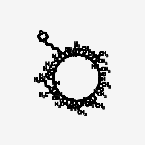 CCCC[C@@H](C)[C@@H](O)[C@@H]1NC(=O)[C@H](C(C)C)N(C)C(=O)C(CC(C)C)N(C)C(=O)[C@H](CC(C)C)N(C)C(=O)[C@@H](C)NC(=O)[C@H](C)NC(=O)[C@H](CC(C)C)N(C)C(=O)[C@H](C(C)C)NC(=O)[C@H]([C@@H](C)OCCCCN2CCOCC2)N(C)C(=O)[C@@H](C)N(C)C(=O)[C@H](CC)NC1=O